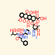 CC(C)CC(NC(=O)C(Cc1ccccc1)NC(=O)c1cnccn1)B(O)O.COc1cccc2c1C(=O)c1c(O)c3c(c(O)c1C2=O)C[C@@](O)(C(=O)CO)C[C@@H]3O[C@H]1C[C@H](N)[C@H](O)[C@H](C)O1